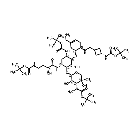 CN(C(=O)OC(C)(C)C)[C@@H]1[C@@H](O)[C@@H](O[C@@H]2[C@@H](O)[C@H](O[C@H]3OC(CN)=CC[C@H]3NC[C@H]3C[C@H](NC(=O)OC(C)(C)C)C3)[C@@H](NC(=O)OC(C)(C)C)C[C@H]2NC(=O)[C@@H](O)CCNC(=O)OC(C)(C)C)OC[C@]1(C)O